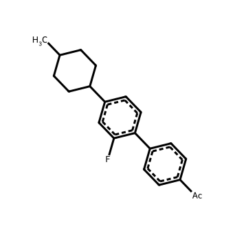 CC(=O)c1ccc(-c2ccc(C3CCC(C)CC3)cc2F)cc1